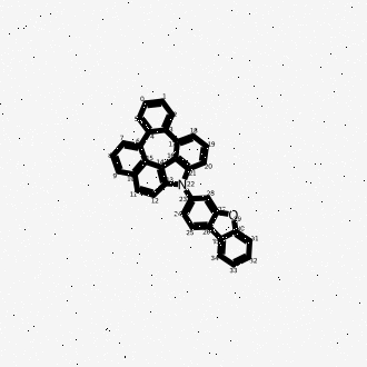 c1ccc2c(c1)-c1cccc3ccc4c(c13)c1c-2cccc1n4-c1ccc2c(c1)oc1ccccc12